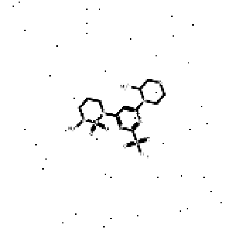 CC1COCCN1c1cc(N2CCCN(C)S2(=O)=O)nc(S(C)(=O)=O)n1